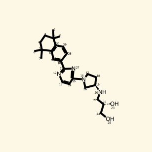 CC1(C)CCC(C)(C)c2cc(-c3nccc(N4CC[C@@H](NC[C@H](O)CO)C4)n3)ccc21